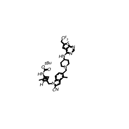 Cc1c(CN2CCC(Nc3ncnc4sc(CC(F)(F)F)cc34)CC2)ccc2c1cc(C#N)n2CC12CC(NC(=O)OC(C)(C)C)(C1)[C@H]2C